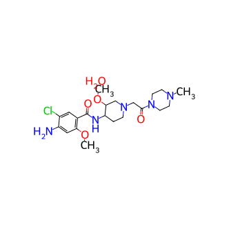 COc1cc(N)c(Cl)cc1C(=O)NC1CCN(CC(=O)N2CCN(C)CC2)CC1OC.O